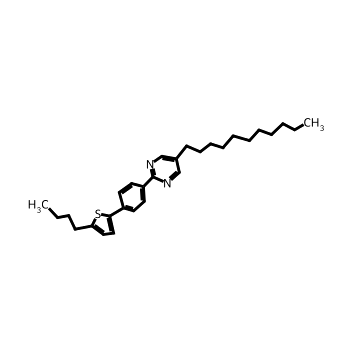 CCCCCCCCCCCc1cnc(-c2ccc(-c3ccc(CCCC)s3)cc2)nc1